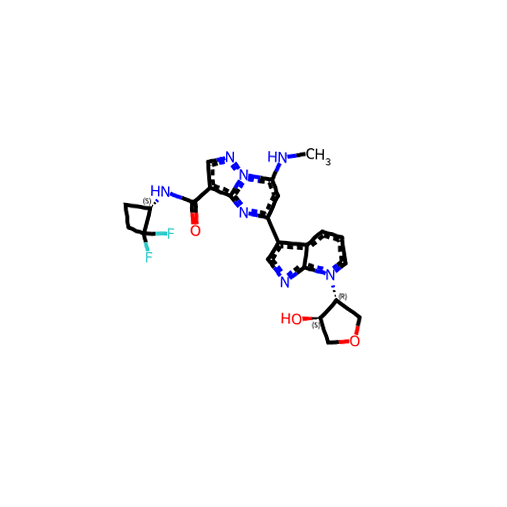 CNc1cc(-c2cnc3n([C@@H]4COC[C@H]4O)cccc2-3)nc2c(C(=O)N[C@H]3CCC3(F)F)cnn12